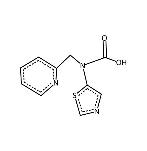 O=C(O)N(Cc1ccccn1)c1cncs1